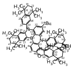 Cc1cc2c(cc1N1c3cc(C(C)(C)C)cc4c3B(c3cc5c(cc3N4c3ccc4c(c3)C(C)(C)CCC4(C)C)C(C)(C)CCC5(C)C)c3ccc4oc5cc6c(cc5c4c31)C(C)(C)CCC6(C)C)C(C)(C)CCC2(C)C